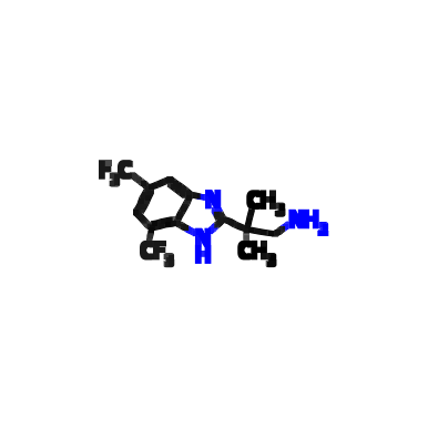 CC(C)(CN)c1nc2cc(C(F)(F)F)cc(C(F)(F)F)c2[nH]1